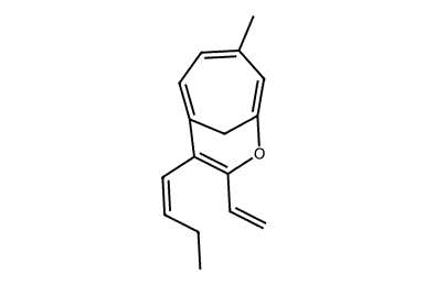 C=CC1=C(/C=C\CC)C2=CC=C(C)C=C(C2)O1